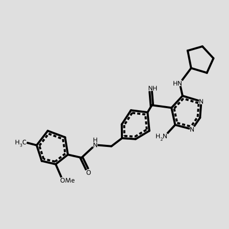 COc1cc(C)ccc1C(=O)NCc1ccc(C(=N)c2c(N)ncnc2NC2CCCC2)cc1